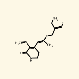 C=NC1=C(/C=C(\C)OC/C(=C/F)CN)CCNC1=O